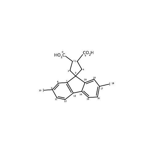 O=C(O)CCC1(CCC(=O)O)c2cc(I)ccc2-c2ccc(I)cc21